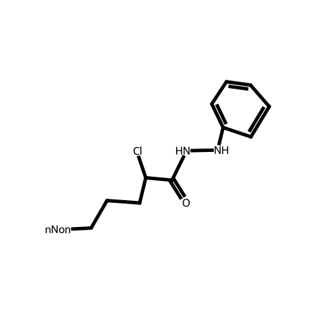 CCCCCCCCCCCCC(Cl)C(=O)NNc1ccccc1